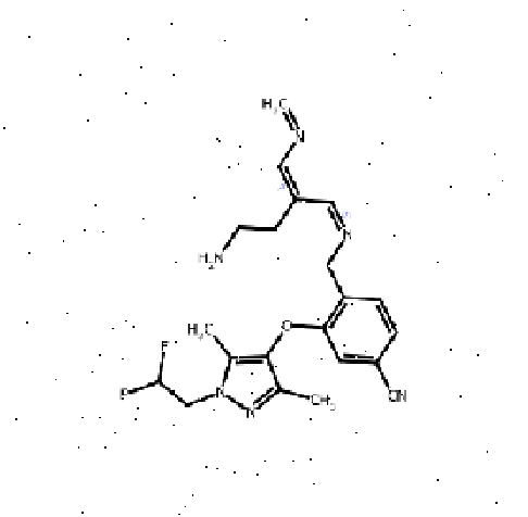 C=N/C=C(\C=N/Cc1ccc(C#N)cc1Oc1c(C)nn(CC(F)F)c1C)CCN